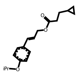 CC(C)Oc1ccc(/C=C/COC(=O)CCC2CC2)cc1